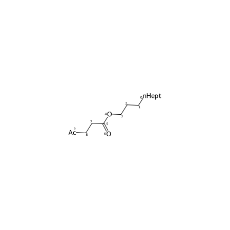 CCCCCCCCCCOC(=O)CCC(C)=O